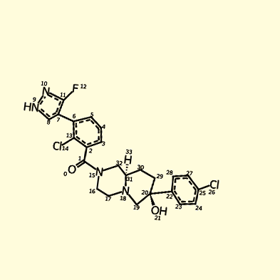 O=C(c1cccc(-c2c[nH]nc2F)c1Cl)N1CCN2C[C@@](O)(c3ccc(Cl)cc3)CC[C@@H]2C1